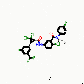 CN(C(=O)c1cc(NC(=O)[C@@H]2[C@@H](c3cc(F)cc(C(F)F)c3)C2(Cl)Cl)ccc1Cl)c1ccc(F)cc1